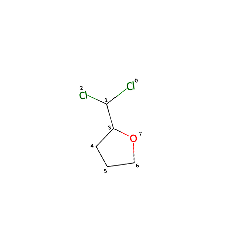 ClC(Cl)C1CCCO1